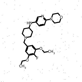 CCOc1cc(CN2CCC(Nc3ccc(N4CCOCC4)nc3)CC2)cc(OCC)c1F